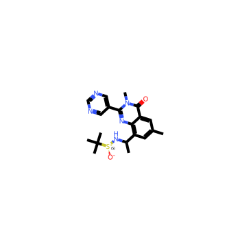 Cc1cc(C(C)N[S@+]([O-])C(C)(C)C)c2nc(-c3cncnc3)n(C)c(=O)c2c1